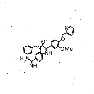 COc1cc([C@@H](Nc2ccc(C(=N)N)cc2)C(=O)NCc2ccccc2)ccc1OCc1ccccn1